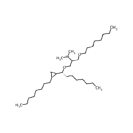 CCCCCCCCOCC(CO[C@H](CCCCCCC)C1CC1CCCCCCCC)N(C)C